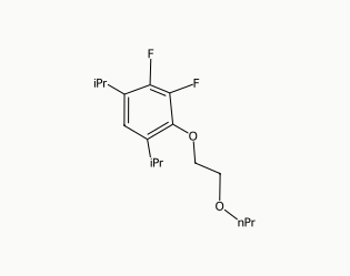 CCCOCCOc1c(C(C)C)cc(C(C)C)c(F)c1F